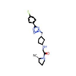 N#C[C@@H]1CCCN1C(=O)CN[C@@H]1CC[C@H](Cn2nnc(-c3ccc(F)cc3)n2)C1